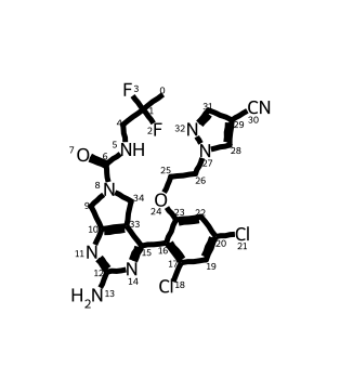 CC(F)(F)CNC(=O)N1Cc2nc(N)nc(-c3c(Cl)cc(Cl)cc3OCCn3cc(C#N)cn3)c2C1